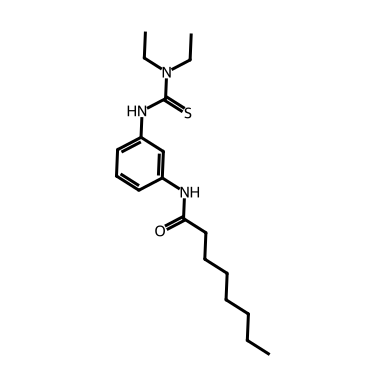 CCCCCCCC(=O)Nc1cccc(NC(=S)N(CC)CC)c1